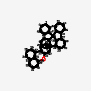 c1ccc(C2(c3ccccc3)c3ccccc3-c3cccc(-c4ccc5c(c4)Oc4cccc6cccc-5c46)c32)cc1